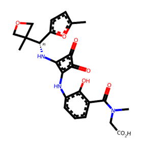 Cc1ccc([C@H](Nc2c(Nc3cccc(C(=O)N(C)CC(=O)O)c3O)c(=O)c2=O)C2(C)COC2)o1